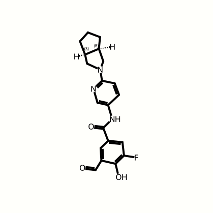 O=Cc1cc(C(=O)Nc2ccc(N3C[C@H]4CCC[C@H]4C3)nc2)cc(F)c1O